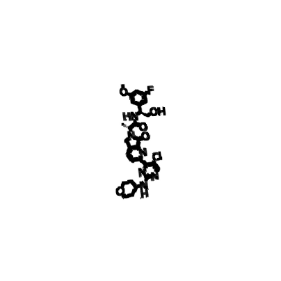 COc1cc(F)cc([C@@H](CO)NC(=O)[C@@H](C)N2Cc3ccc(-c4nc(NC5CCOCC5)ncc4Cl)nc3C2=O)c1